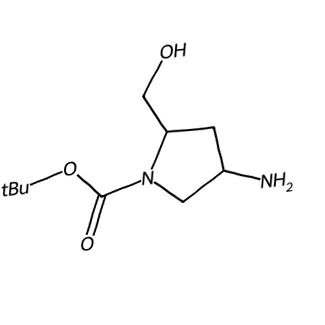 CC(C)(C)OC(=O)N1CC(N)CC1CO